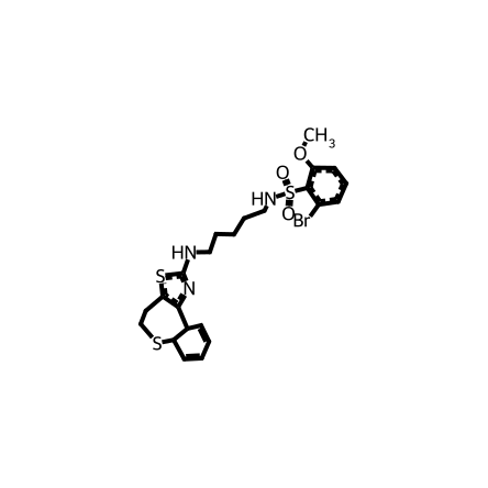 COc1cccc(Br)c1S(=O)(=O)NCCCCCNc1nc2c(s1)CCSC1C=CC=CC21